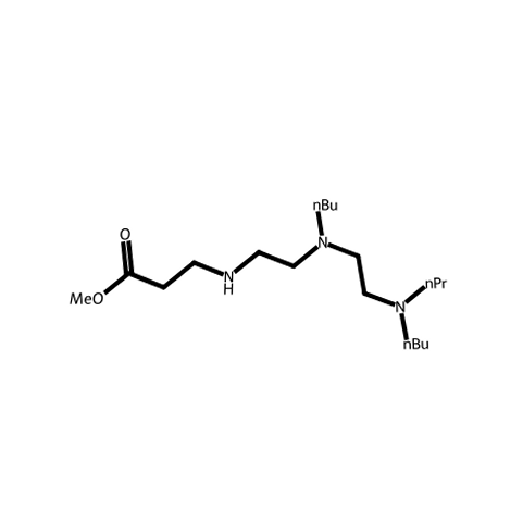 CCCCN(CCC)CCN(CCCC)CCNCCC(=O)OC